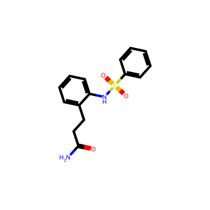 NC(=O)CCc1ccccc1NS(=O)(=O)c1ccccc1